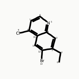 CCc1cc2nccc(Cl)c2cc1Br